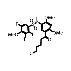 COc1cc(OC)c(C(=O)CCCCCl)cc1NS(=O)(=O)c1cc(F)c(OC)c(F)c1F